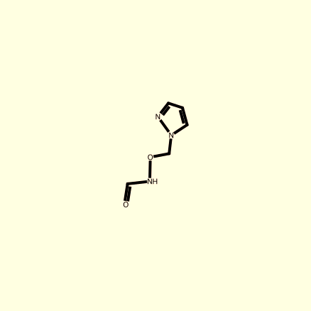 O=CNOCn1cccn1